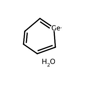 C1=C[CH]=[Ge][CH]=C1.O